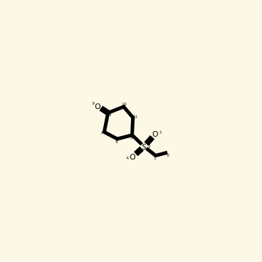 CCS(=O)(=O)C1CCC(=O)CC1